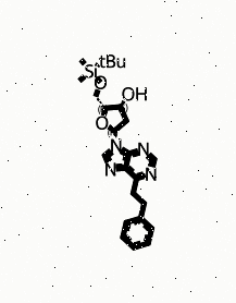 CC(C)(C)[Si](C)(C)OC[C@H]1O[C@@H](n2cnc3c(CCc4ccccc4)ncnc32)C[C@@H]1O